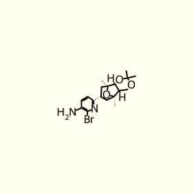 CC1(C)OC[C@H]2[C@@H](O1)[C@]1(C)C[C@@H](c3ccc(N)c(Br)n3)C[C@@]2(C)O1